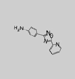 Nc1ccc(-c2noc(-c3ccccn3)n2)cc1